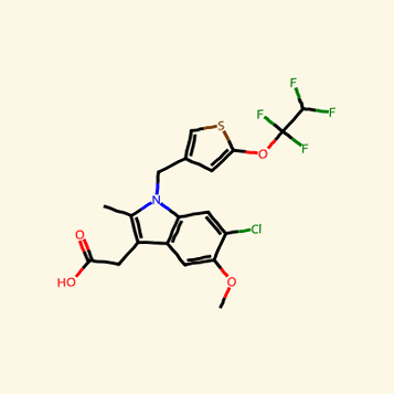 COc1cc2c(CC(=O)O)c(C)n(Cc3csc(OC(F)(F)C(F)F)c3)c2cc1Cl